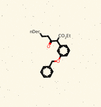 CCCCCCCCCCCCC(=O)C(C(=O)OCC)c1cccc(OCc2ccccc2)c1